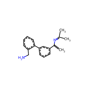 C=C(N=C(C)C)c1cccc(-c2ccccc2CN)c1